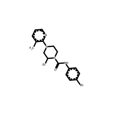 CCC1CN(c2ncccc2C(F)(F)F)CCN1C(=O)Nc1ccc(C(C)C)cc1